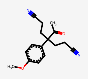 COc1ccc(C(CCC#N)(CCC#N)C(C)=O)cc1